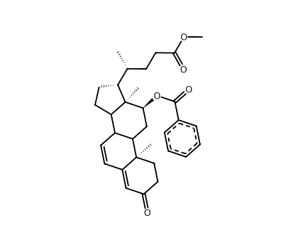 COC(=O)CC[C@@H](C)[C@H]1CCC2C3C=CC4=CC(=O)CC[C@]4(C)C3C[C@H](OC(=O)c3ccccc3)[C@@]21C